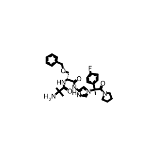 CC(C)(N)C(=O)N[C@H](COCc1ccccc1)C(=O)Nc1cn([C@@](C)(C(=O)N2CCCC2)c2ccc(F)cc2)cn1